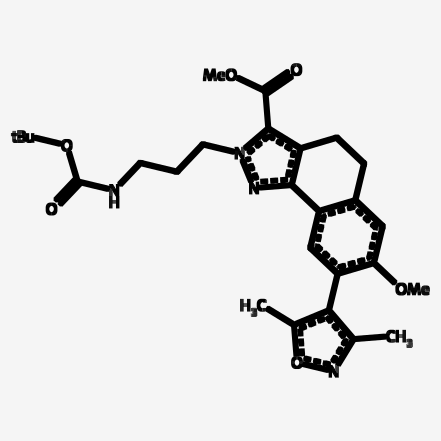 COC(=O)c1c2c(nn1CCCNC(=O)OC(C)(C)C)-c1cc(-c3c(C)noc3C)c(OC)cc1CC2